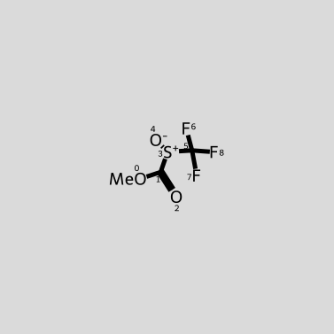 COC(=O)[S+]([O-])C(F)(F)F